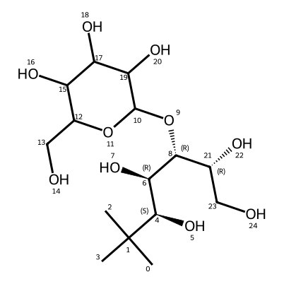 CC(C)(C)[C@H](O)[C@@H](O)[C@H](OC1OC(CO)C(O)C(O)C1O)[C@H](O)CO